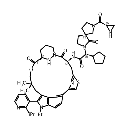 CCn1c(-c2cccnc2C(C)C)c2c3cc(ccc31)-c1csc(n1)C[C@H](NC(=O)[C@H](C1CCCC1)N1CC[C@]3(CCN(C(=O)[C@H]4CN4)C3)C1=O)C(=O)N1CCC[C@H](N1)C(=O)OCC(C)(C)C2